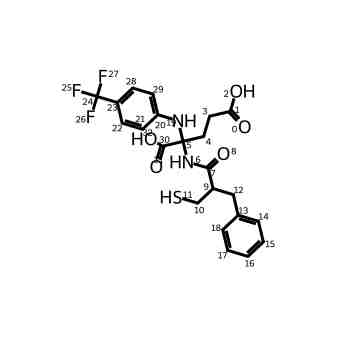 O=C(O)CCC(NC(=O)C(CS)Cc1ccccc1)(Nc1ccc(C(F)(F)F)cc1)C(=O)O